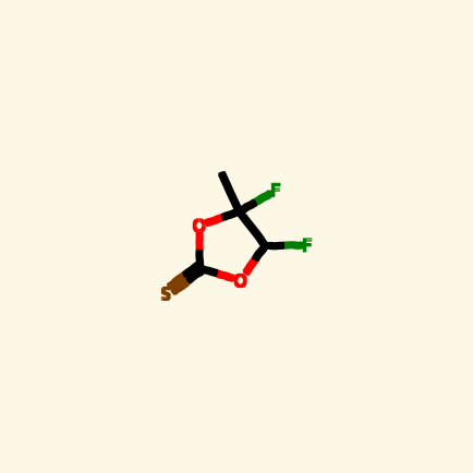 CC1(F)OC(=S)OC1F